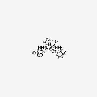 CC(C)[C@H](NC(=O)c1ccnc(Cl)c1Cl)C(=O)N1CCC[C@H]1C(=O)N[C@H](C=O)CC(=O)O